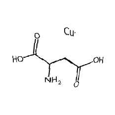 NC(CC(=O)O)C(=O)O.[Cu]